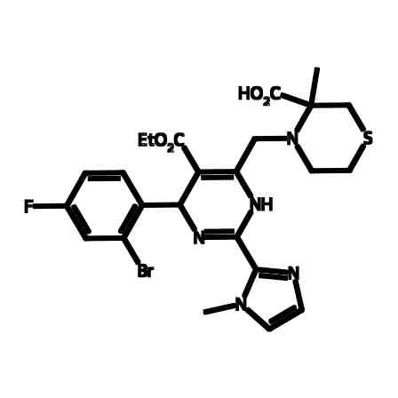 CCOC(=O)C1=C(CN2CCSCC2(C)C(=O)O)NC(c2nccn2C)=NC1c1ccc(F)cc1Br